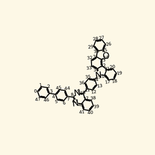 c1ccc(-c2ccc(-c3nc(-c4ccc(-n5c6ccccc6c6c7oc8ccccc8c7ccc65)cc4)c4ccccc4n3)cc2)cc1